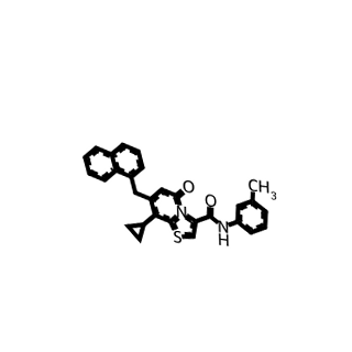 Cc1cccc(NC(=O)c2csc3c(C4CC4)c(Cc4cccc5ccccc45)cc(=O)n23)c1